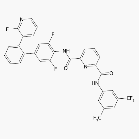 O=C(Nc1cc(C(F)(F)F)cc(C(F)(F)F)c1)c1cccc(C(=O)Nc2c(F)cc(-c3ccccc3-c3cccnc3F)cc2F)n1